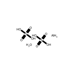 O.O=S(=O)(O)O.O=S(=O)(O)O.[AlH3]